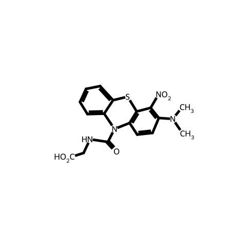 CN(C)c1ccc2c(c1[N+](=O)[O-])Sc1ccccc1N2C(=O)NCC(=O)O